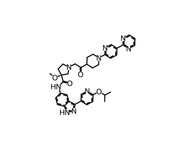 CO[C@@]1(C(=O)Nc2ccc3[nH]nc(-c4ccc(OC(C)C)nc4)c3c2)CCN(CC(=O)C2CCN(c3ccc(-c4ncccn4)cn3)CC2)C1